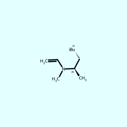 C=CN(C)[C@H](C)C[C@@H](C)CC